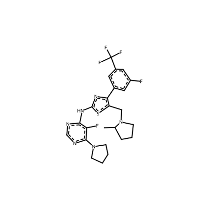 CC1CCCN1Cc1sc(Nc2ncnc(N3CCCC3)c2F)nc1-c1cc(F)cc(C(F)(F)F)c1